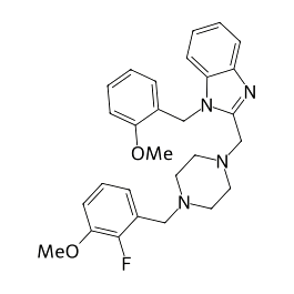 COc1ccccc1Cn1c(CN2CCN(Cc3cccc(OC)c3F)CC2)nc2ccccc21